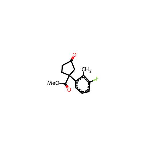 COC(=O)C1(c2cccc(F)c2C)CCC(=O)C1